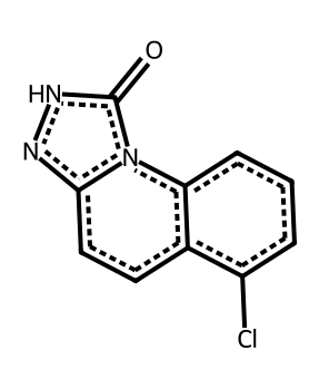 O=c1[nH]nc2ccc3c(Cl)cccc3n12